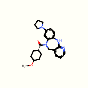 CO[C@H]1CC[C@H](C(=O)N2Cc3cccnc3Nc3ccc(N4CCCC4)cc32)CC1